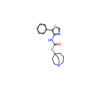 O=C(Nc1ncsc1-c1ccccc1)OC12CCCN(CC1)CC2